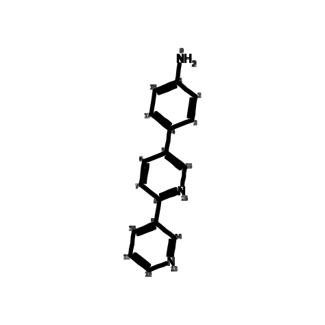 Nc1ccc(-c2ccc(-c3cccnc3)nc2)cc1